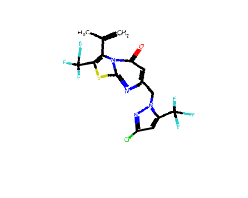 C=C(C)c1c(C(F)(F)F)sc2nc(Cn3nc(Cl)cc3C(F)(F)F)cc(=O)n12